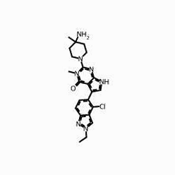 CCn1cc2c(Cl)c(-c3c[nH]c4nc(N5CCC(C)(N)CC5)n(C)c(=O)c34)ccc2n1